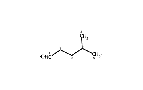 [CH2]C(C)CC[C]=O